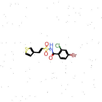 O=C(NS(=O)(=O)C=Cc1ccsc1)c1ccc(Br)cc1Cl